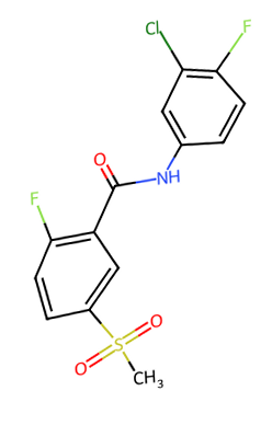 CS(=O)(=O)c1ccc(F)c(C(=O)Nc2ccc(F)c(Cl)c2)c1